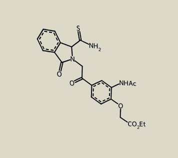 CCOC(=O)COc1ccc(C(=O)CN2C(=O)c3ccccc3C2C(N)=S)cc1NC(C)=O